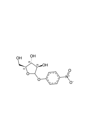 O=[N+]([O-])c1ccc(OC2O[C@@H](CO)[C@H](O)[C@H]2O)cc1